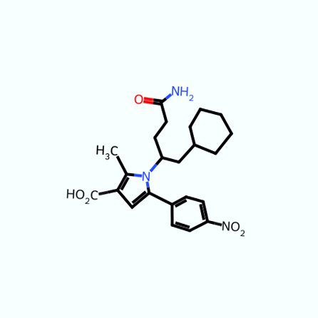 Cc1c(C(=O)O)cc(-c2ccc([N+](=O)[O-])cc2)n1C(CCC(N)=O)CC1CCCCC1